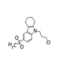 CS(=O)(=O)c1ccc2c(c1)c1c(n2CCCCl)CCCC1